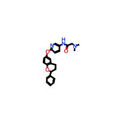 CN(C)CC(=O)Nc1ccc(Oc2ccc3c(c2)CCC(c2ccccc2)O3)nc1